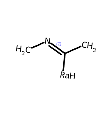 C/N=[C](/C)[RaH]